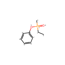 CCP(C)(=O)Oc1ccccc1